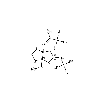 O=C(O)C(F)(F)F.OC[C@@]12CCCN1C[C@@H](OC(F)(F)F)C2